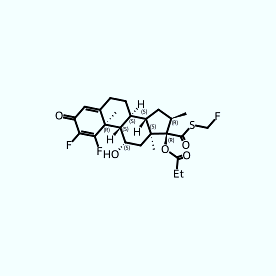 CCC(=O)O[C@]1(C(=O)SCF)[C@H](C)C[C@H]2[C@@H]3CCC4=CC(=O)C(F)=C(F)[C@]4(C)[C@H]3[C@@H](O)C[C@@]21C